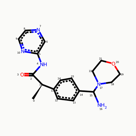 C[C@@H](C(=O)Nc1cnccn1)c1ccc(C(N)N2CCOCC2)cc1